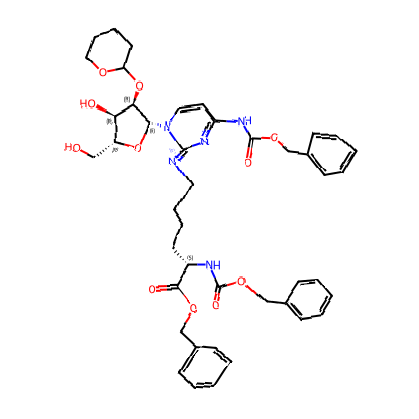 O=C(Nc1ccn([C@@H]2O[C@H](CO)[C@@H](O)[C@H]2OC2CCCCO2)/c(=N/CCCC[C@H](NC(=O)OCc2ccccc2)C(=O)OCc2ccccc2)n1)OCc1ccccc1